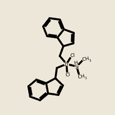 C[SiH](C)[Zr]([Cl])([Cl])([CH2]C1C=Cc2ccccc21)[CH2]C1C=Cc2ccccc21